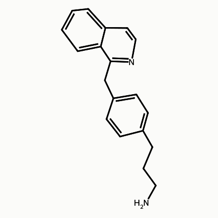 NCCCc1ccc(Cc2nccc3ccccc23)cc1